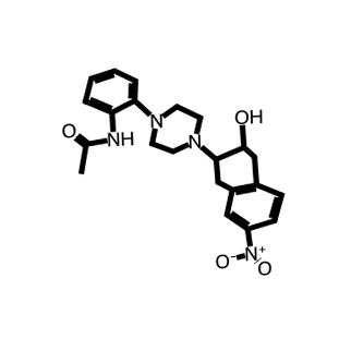 CC(=O)Nc1ccccc1N1CCN(C2Cc3cc([N+](=O)[O-])ccc3CC2O)CC1